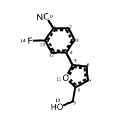 N#Cc1ccc(-c2ccc(CO)o2)cc1F